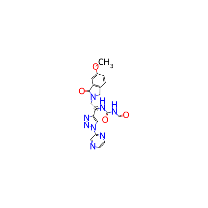 COc1ccc2c(c1)C(=O)N(C[C@H](NC(=O)NC=O)c1cn(-c3cnccn3)nn1)C2